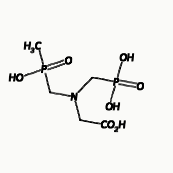 CP(=O)(O)CN(CC(=O)O)CP(=O)(O)O